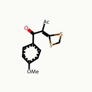 COc1ccc(C(=O)C(C(C)=O)=C2SCS2)cc1